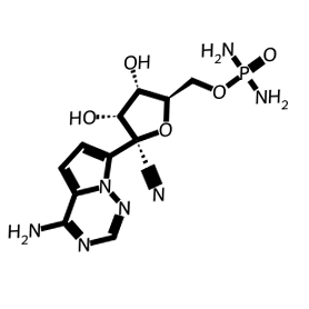 N#C[C@@]1(c2ccc3c(N)ncnn23)O[C@H](COP(N)(N)=O)[C@@H](O)[C@H]1O